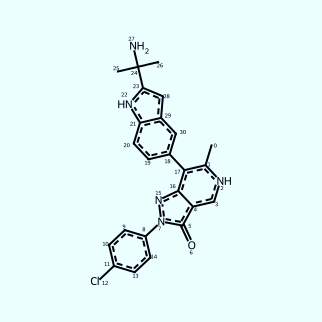 Cc1[nH]cc2c(=O)n(-c3ccc(Cl)cc3)nc-2c1-c1ccc2[nH]c(C(C)(C)N)cc2c1